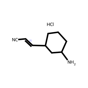 Cl.N#C/C=C/C1CCCC(N)C1